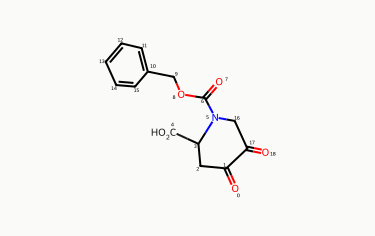 O=C1CC(C(=O)O)N(C(=O)OCc2ccccc2)CC1=O